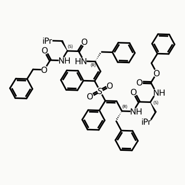 CC(C)C[C@H](NC(=O)OCc1ccccc1)C(=O)N[C@@H](C=C(c1ccccc1)S(=O)(=O)C(=C[C@@H](Cc1ccccc1)NC(=O)[C@H](CC(C)C)NC(=O)OCc1ccccc1)c1ccccc1)Cc1ccccc1